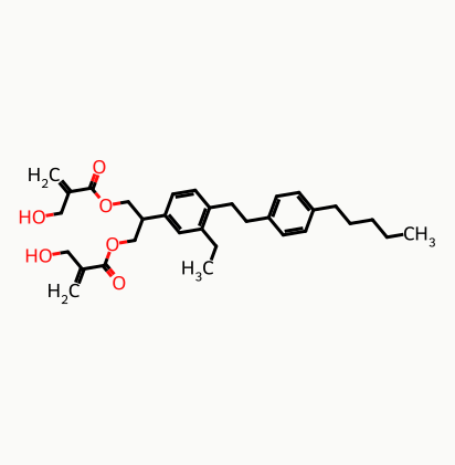 C=C(CO)C(=O)OCC(COC(=O)C(=C)CO)c1ccc(CCc2ccc(CCCCC)cc2)c(CC)c1